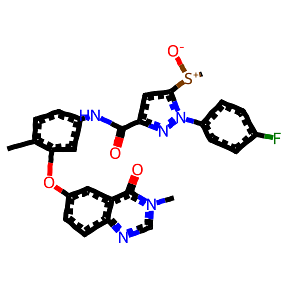 Cc1ccc(NC(=O)c2cc([S+](C)[O-])n(-c3ccc(F)cc3)n2)cc1Oc1ccc2ncn(C)c(=O)c2c1